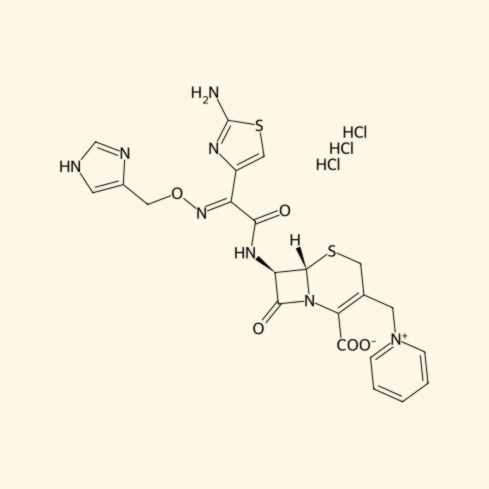 Cl.Cl.Cl.Nc1nc(C(=NOCc2c[nH]cn2)C(=O)N[C@@H]2C(=O)N3C(C(=O)[O-])=C(C[n+]4ccccc4)CS[C@@H]23)cs1